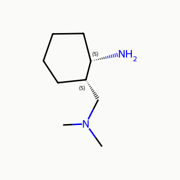 CN(C)C[C@@H]1CCCC[C@@H]1N